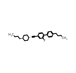 CCCCc1ccc(-c2ccc(C#C[C@H]3CC[C@H](CCCC)CC3)cc2F)cc1